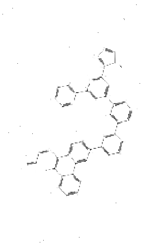 C=C/C=N\c1c(C)c2ccccc2c2cc(-c3cccc(-c4cccc(-c5cc(C6=CC=C[C@H]6C)nc(-c6ccccn6)c5)c4)c3)ccc12